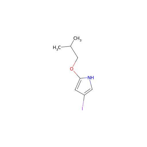 CC(C)COc1cc(I)c[nH]1